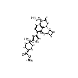 CC1CCc2c(ccc(-c3csc(C4(O)CCN(C(=O)OC(C)(C)C)CC4)n3)c2OC2CCC2)N1C(=O)O